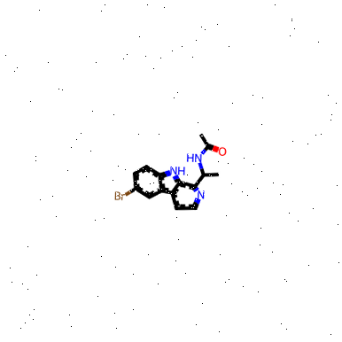 CC(=O)NC(C)c1nccc2c1[nH]c1ccc(Br)cc12